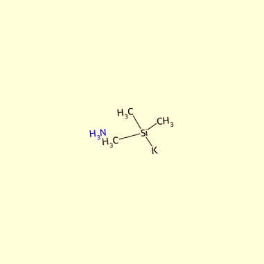 C[Si](C)(C)[K].N